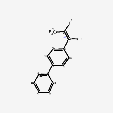 F/C(=C(\F)C(F)(F)F)c1ccc(-c2ccccc2)cc1